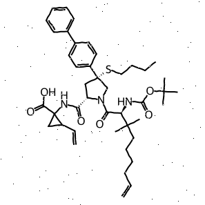 C=CCCCCC(C)(C)[C@H](NC(=O)OC(C)(C)C)C(=O)N1C[C@](SCCCC)(c2ccc(-c3ccccc3)cc2)C[C@H]1C(=O)NC1(C(=O)O)CC1C=C